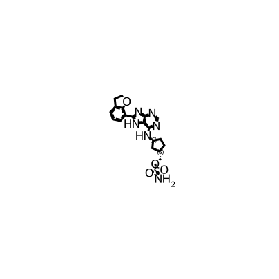 NS(=O)(=O)OC[C@H]1CC[C@H](Nc2ncnc3nc(-c4cccc5c4OCC5)[nH]c23)C1